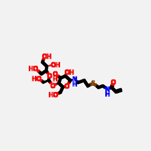 C=CC(=O)NCCSCCCN[C@@H]1OC(CO)[C@@H](O[C@@H](CO)OC(CO)[C@@H](O)CO)C(O)C1O